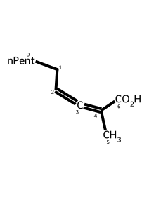 CCCCCCC=C=C(C)C(=O)O